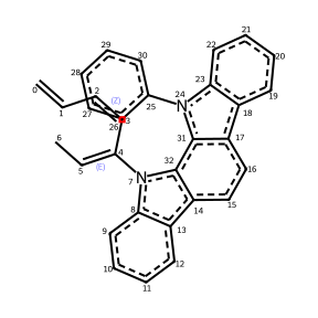 C=C/C=C\C(=C/C)n1c2ccccc2c2ccc3c4ccccc4n(-c4ccccc4)c3c21